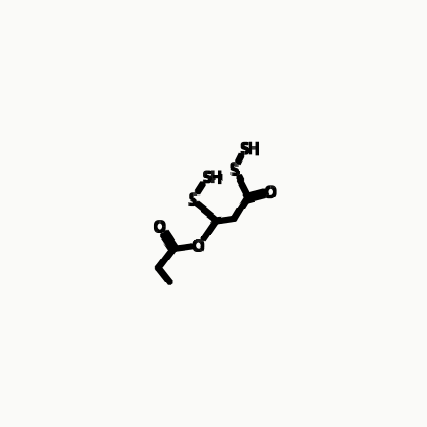 CCC(=O)OC(CC(=O)SS)SS